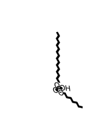 CCCCCCCCCCCCCCCCOP(=O)(O)OCCCCCCC